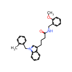 COc1ccccc1CNC(=O)CCCc1cn(Cc2ccccc2C)c2ccccc12